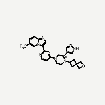 FC(F)(F)c1ccc2ncc(-c3nccc(N4CCN(C5CC6(COC6)C5)[C@H](c5cn[nH]c5)C4)n3)n2c1